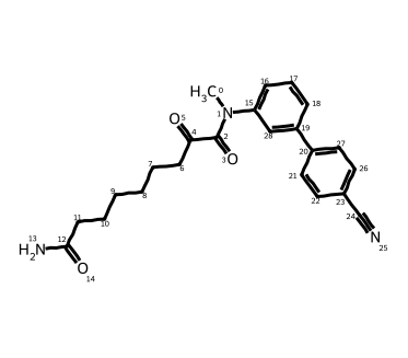 CN(C(=O)C(=O)CCCCCCC(N)=O)c1cccc(-c2ccc(C#N)cc2)c1